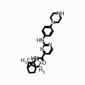 CC1(C)C2CCC1(C)C(NC(=O)c1ccnc(Nc3ccc(N4CCNCC4)cc3)n1)C2